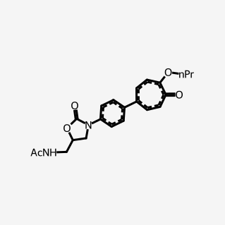 CCCOc1ccc(-c2ccc(N3CC(CNC(C)=O)OC3=O)cc2)ccc1=O